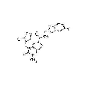 CN1Cc2ccc(C(=O)NCc3cc4cc(F)ccc4o3)cc2N(CC2C=CC=C2Cl)C1=O